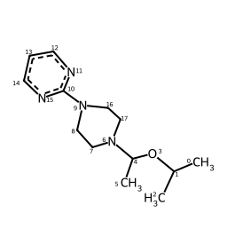 CC(C)OC(C)N1CCN(c2ncccn2)CC1